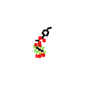 C=Cc1ccc(C(=O)OC(C)OS(=O)(=O)C(F)(F)C(F)(F)C(F)(F)S(=O)(=O)O)cc1